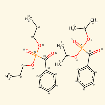 CC(C)OP(=O)(OC(C)C)C(=O)c1ccccc1.CCCOP(=O)(OCCC)C(=O)c1ccccc1